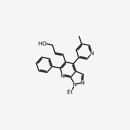 CCn1ncc2c(-c3cncc(C)c3)c(C=CCO)c(-c3ccccc3)nc21